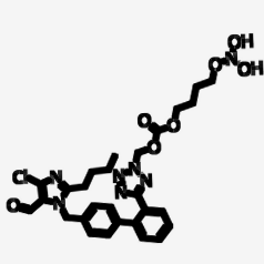 CCCCc1nc(Cl)c(C=O)n1Cc1ccc(-c2ccccc2-c2nnn(COC(=O)OCCCCON(O)O)n2)cc1